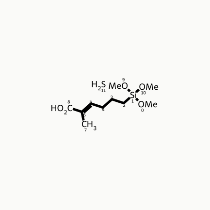 CO[Si](CCCC=C(C)C(=O)O)(OC)OC.S